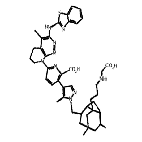 Cc1c(Nc2nc3ccccc3s2)nnc2c1CCCN2c1ccc(-c2cnn(CC3CC4(C)CC5(C)CCC3C(CCCNCC(=O)O)(C5)C4)c2C)c(C(=O)O)n1